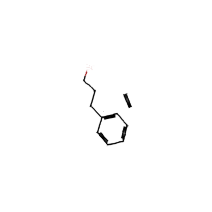 BrCCCc1ccccc1.C=C